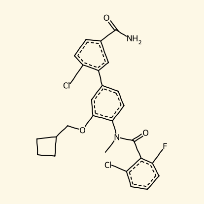 CN(C(=O)c1c(F)cccc1Cl)c1ccc(-c2cc(C(N)=O)ccc2Cl)cc1OCC1CCC1